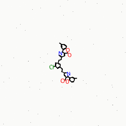 Cc1ccc2oc(=O)c3cc(CCc4cc(Cl)cc(CCc5cnc6c(c5)c(=O)oc5ccc(C)cc56)c4)cnc3c2c1